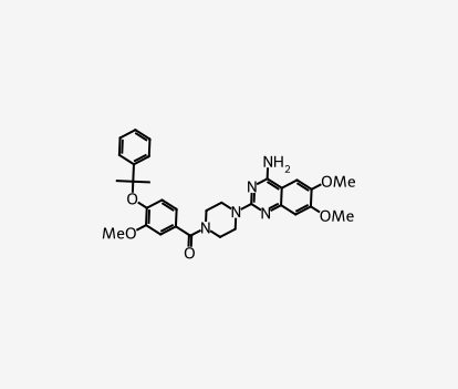 COc1cc2nc(N3CCN(C(=O)c4ccc(OC(C)(C)c5ccccc5)c(OC)c4)CC3)nc(N)c2cc1OC